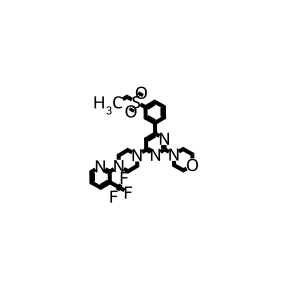 CCS(=O)(=O)c1cccc(-c2cc(N3CCN(c4ncccc4C(F)(F)F)CC3)nc(N3CCOCC3)n2)c1